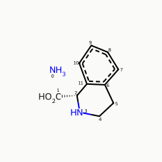 N.O=C(O)[C@H]1NCCc2ccccc21